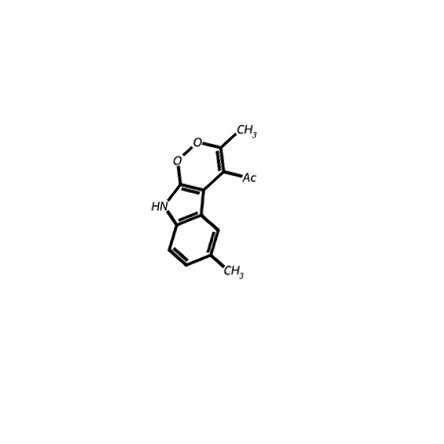 CC(=O)C1=C(C)OOc2[nH]c3ccc(C)cc3c21